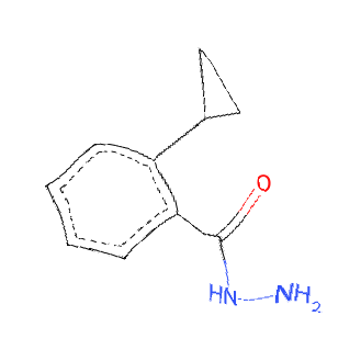 NNC(=O)c1ccccc1C1CC1